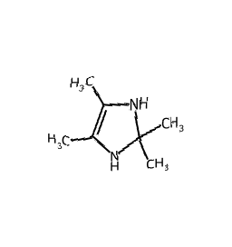 CC1=C(C)NC(C)(C)N1